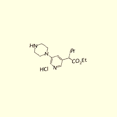 CCOC(=O)C(c1cncc(N2CCNCC2)c1)C(C)C.Cl